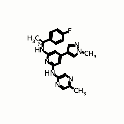 Cc1cnc(Nc2cc(-c3cnn(C)c3)cc(N[C@@H](C)c3ccc(F)cc3)n2)cn1